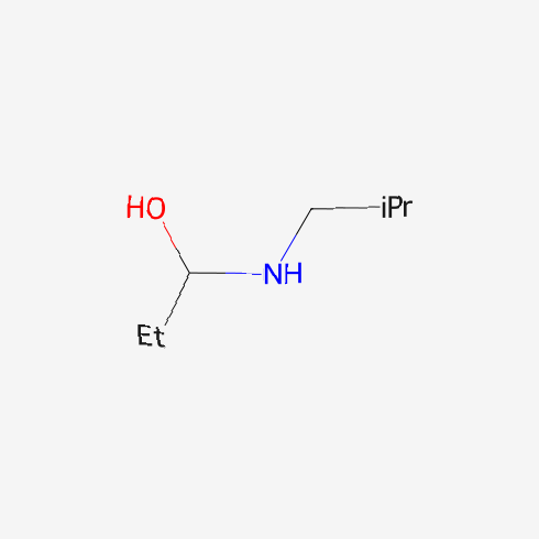 CCC(O)NCC(C)C